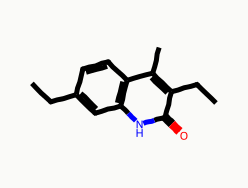 CCc1ccc2c(C)c(CC)c(=O)[nH]c2c1